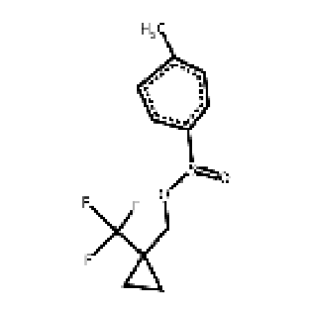 Cc1ccc(S(=O)OCC2(C(F)(F)F)CC2)cc1